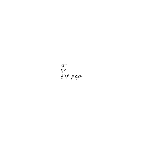 [Ce+3].[Li+].[O+2].[O-2].[O-2].[O-2]